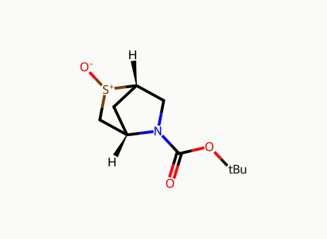 CC(C)(C)OC(=O)N1C[C@@H]2C[C@H]1C[S+]2[O-]